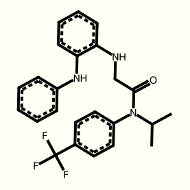 CC(C)N(C(=O)CNc1ccccc1Nc1ccccc1)c1ccc(C(F)(F)F)cc1